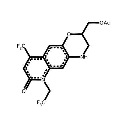 CC(=O)OCC1CNc2cc3c(cc2O1)c(C(F)(F)F)cc(=O)n3CC(F)(F)F